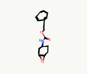 O=C(NC1CCC2OC2C1)OCc1ccccc1